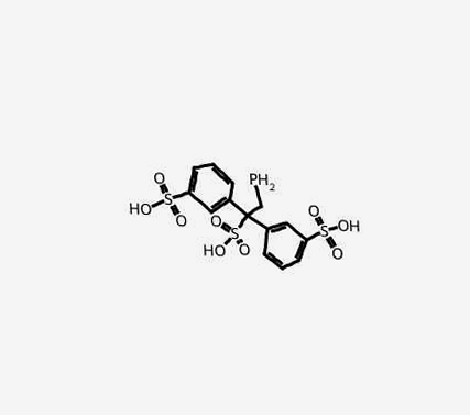 O=S(=O)(O)c1cccc(C(CP)(c2cccc(S(=O)(=O)O)c2)S(=O)(=O)O)c1